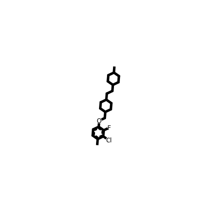 Cc1ccc(OCC2CCC(CCC3CCC(C)CC3)CC2)c(F)c1Cl